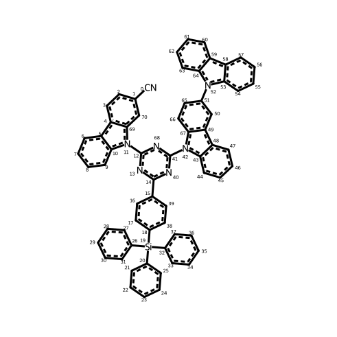 N#Cc1ccc2c3ccccc3n(-c3nc(-c4ccc([Si](c5ccccc5)(c5ccccc5)c5ccccc5)cc4)nc(-n4c5ccccc5c5cc(-n6c7ccccc7c7ccccc76)ccc54)n3)c2c1